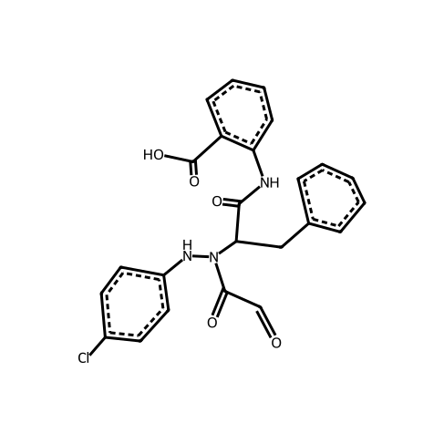 O=CC(=O)N(Nc1ccc(Cl)cc1)C(Cc1ccccc1)C(=O)Nc1ccccc1C(=O)O